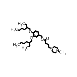 CCCCC(CC)COc1ccc(COC(=O)CCCN2CCN(C)CC2)cc1OCC(CC)CCCC